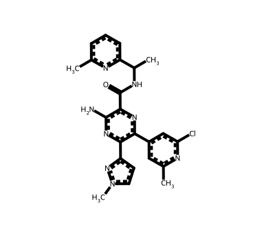 Cc1cc(-c2nc(C(=O)NC(C)c3cccc(C)n3)c(N)nc2-c2ccn(C)n2)cc(Cl)n1